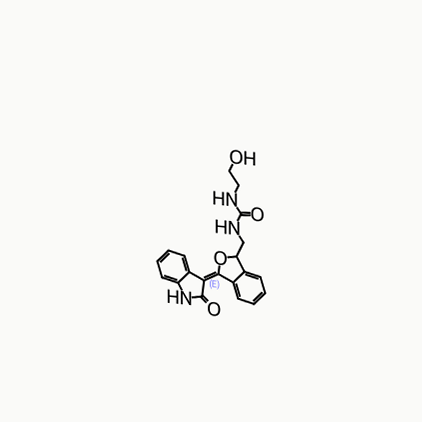 O=C(NCCO)NCC1O/C(=C2/C(=O)Nc3ccccc32)c2ccccc21